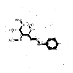 CC(=O)OO[C@@H]([C@H](C)OOC(C)=O)[C@H](/C=N/Nc1ccccc1)OOC(C)=O